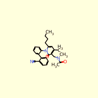 CCCCc1cc(C)c(CN(C)C(C)=O)c(=O)n1-c1ccccc1-c1ccccc1C#N